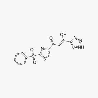 O=C(C=C(O)c1nn[nH]n1)c1csc(S(=O)(=O)c2ccccc2)n1